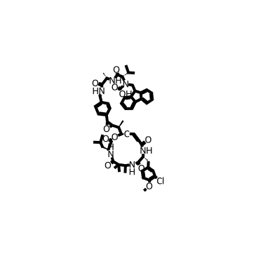 COc1ccc(C[C@H]2NC(=O)/C=C/C[C@@H]([C@H](C)C3OC3c3ccc(CNC(=O)[C@H](C)NC(=O)[C@H](C(C)C)N(CC4c5ccccc5-c5ccccc54)C(=O)O)cc3)OC(=O)[C@H](CC(C)C)NC(=O)C(C)(C)C(C)NC2=O)cc1Cl